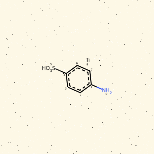 Nc1ccc(S(=O)(=O)O)cc1.[Ti]